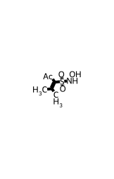 CC(=O)C(=C(C)C)S(=O)(=O)NO